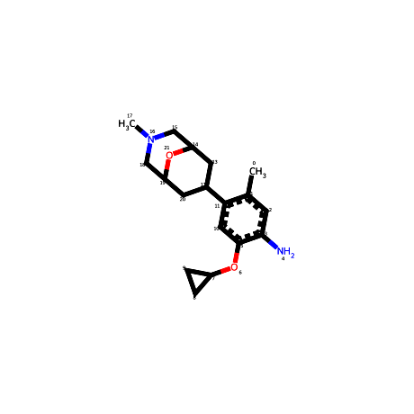 Cc1cc(N)c(OC2CC2)cc1C1CC2CN(C)CC(C1)O2